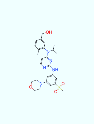 Cc1ccc(CO)cc1N(c1ccnc(Nc2cc(N3CCOCC3)cc(S(C)(=O)=O)c2)n1)C(C)C